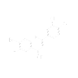 CC(=O)c1ccc(/C(F)=C/C(c2ccc(Br)c(F)c2)C(F)(F)F)cc1C(F)(F)F